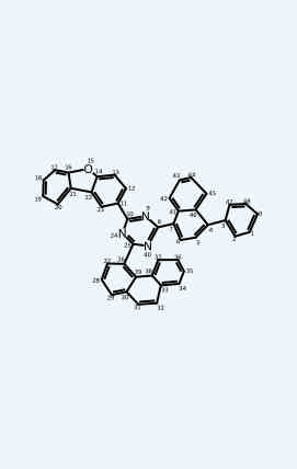 c1ccc(-c2ccc(-c3nc(-c4ccc5oc6ccccc6c5c4)nc(-c4cccc5ccc6ccccc6c45)n3)c3ccccc23)cc1